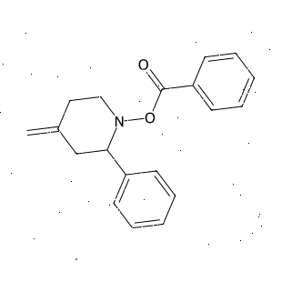 C=C1CCN(OC(=O)c2ccccc2)C(c2ccccc2)C1